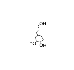 COC1CC(CCCO)CCC1O